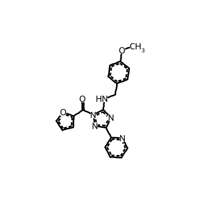 COc1ccc(CNc2nc(-c3ccccn3)nn2C(=O)c2ccco2)cc1